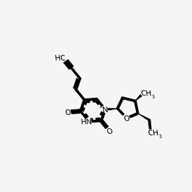 C#C/C=C/c1cn([C@H]2C[C@@H](C)[C@@H](CC)O2)c(=O)[nH]c1=O